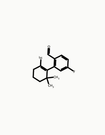 [2H]C1=C(c2cc(F)ccc2C=O)C(C)(C)CCC1